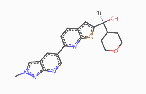 [2H][C@@](O)(c1cc2ccc(-c3cnc4nn(C)cc4c3)nc2s1)C1CCOCC1